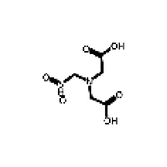 O=C(O)CN(CC(=O)O)C[SH](=O)=O